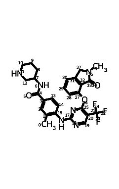 Cc1cc(C(=O)NC2CCCNC2)ccc1Nc1ncc(C(F)(F)F)c(Oc2cccc3c2C(=O)N(C)C3)n1